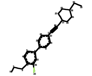 CCCc1ccc(-c2ccc(C#CC3CCC(CC)CC3)cc2)cc1F